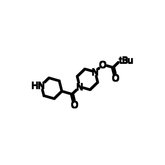 CC(C)(C)C(=O)ON1CCN(C(=O)C2CCNCC2)CC1